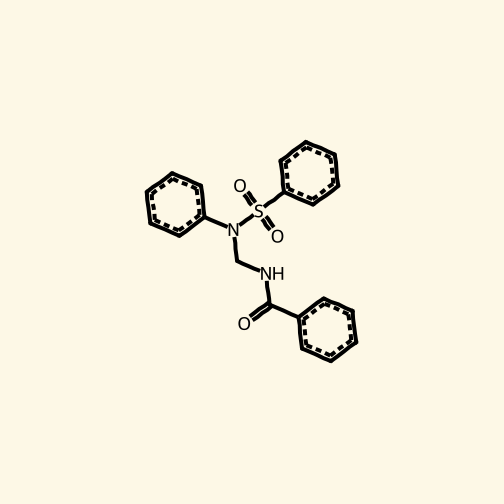 O=C(NCN(c1ccccc1)S(=O)(=O)c1ccccc1)c1ccccc1